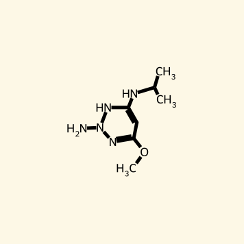 COC1=NN(N)NC(NC(C)C)=C1